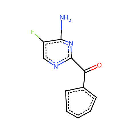 Nc1nc(C(=O)c2ccccc2)ncc1F